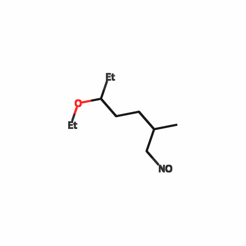 CCOC(CC)CCC(C)CN=O